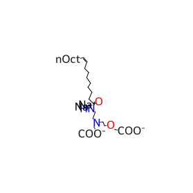 CCCCCCCC/C=C\CCCCCCCC(=O)NCCN(CCOCC(=O)[O-])CC(=O)[O-].[Na+].[Na+]